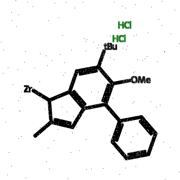 COc1c(C(C)(C)C)cc2c(c1-c1ccccc1)C=C(C)[CH]2[Zr].Cl.Cl